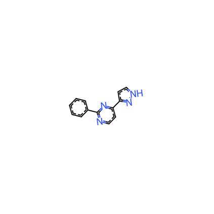 c1ccc(-c2nccc(-c3cc[nH]n3)n2)cc1